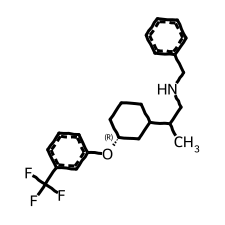 CC(CNCc1ccccc1)C1CCC[C@@H](Oc2cccc(C(F)(F)F)c2)C1